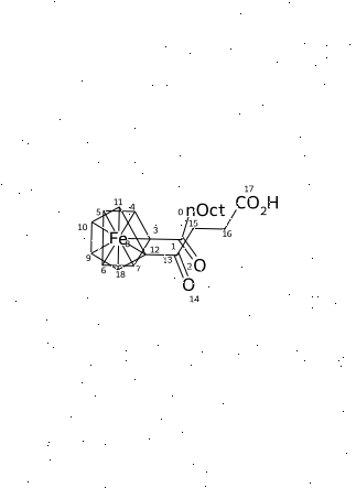 CCCCCCCCC(=O)[C]12[CH]3[CH]4[CH]5[CH]1[Fe]45321678[CH]2[CH]1[CH]6[C]7(C(=O)CCC(=O)O)[CH]28